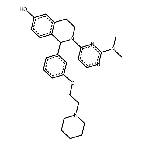 CN(C)c1nccc(N2CCc3cc(O)ccc3C2c2cccc(OCCN3CCCCC3)c2)n1